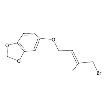 C/C(=C\COc1ccc2c(c1)OCO2)CBr